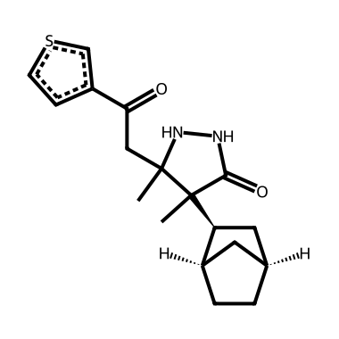 CC1(CC(=O)c2ccsc2)NNC(=O)C1(C)[C@H]1C[C@H]2CC[C@@H]1C2